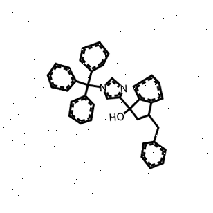 OC1(c2cn(C(c3ccccc3)(c3ccccc3)c3ccccc3)cn2)CC(Cc2ccccc2)c2ccccc21